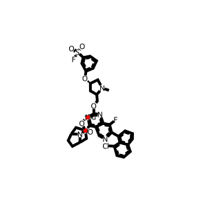 CN1C[C@H](Oc2cccc(S(=O)(=O)F)c2)CC1COc1nc(N2CC3CCC(C2)N3C(=O)OC(C)(C)C)c2cnc(-c3cccc4cccc(Cl)c34)c(F)c2n1